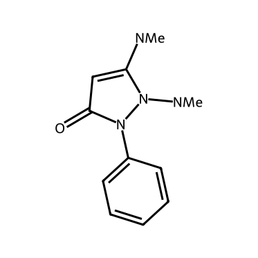 CNc1cc(=O)n(-c2ccccc2)n1NC